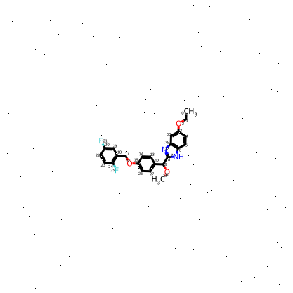 CCOc1ccc2[nH]c(C(OC)c3ccc(OCc4cc(F)ccc4F)cc3)nc2c1